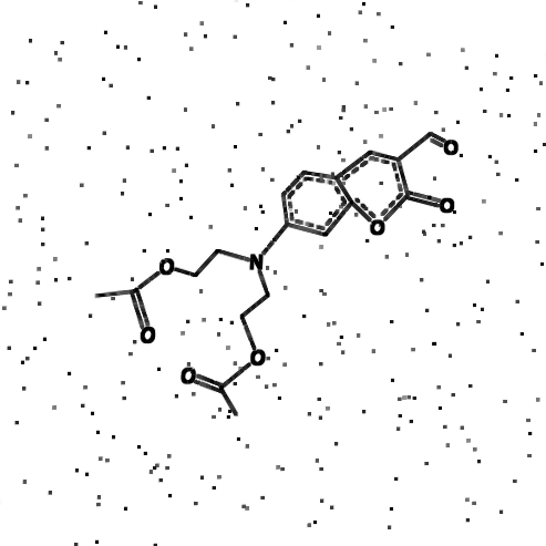 CC(=O)OCCN(CCOC(C)=O)c1ccc2cc(C=O)c(=O)oc2c1